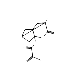 C=C(C)C(=O)OC12CC3CC1CC3(C(F)(F)F)C(=O)O2